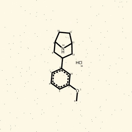 COc1cccc(C2CC3CCC(C2)N3)c1.Cl